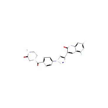 CN1CCN(C(=O)c2ccc(-n3cc(-c4cc5c(F)cc(F)cc5[nH]c4=O)nn3)cc2)CC1=O